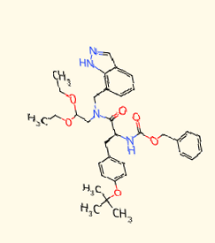 CCOC(CN(Cc1cccc2cn[nH]c12)C(=O)[C@H](Cc1ccc(OC(C)(C)C)cc1)NC(=O)OCc1ccccc1)OCC